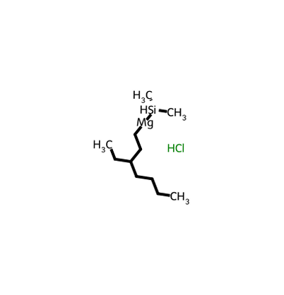 CCCCC(CC)C[CH2][Mg][SiH](C)C.Cl